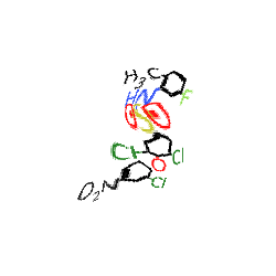 Cc1ccc(F)cc1NS(=O)(=O)C1=CC(Cl)C(OC2CC=C([N+](=O)[O-])C=C2Cl)C(Cl)=C1